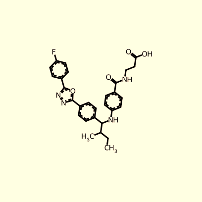 CCC(C)C(Nc1ccc(C(=O)NCCC(=O)O)cc1)c1ccc(-c2nnc(-c3ccc(F)cc3)o2)cc1